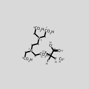 O=C(O)CN(CCN(CC(=O)O)CC(=O)O)CC(=O)O.O=C([O-])C(F)(F)F.[Cs+]